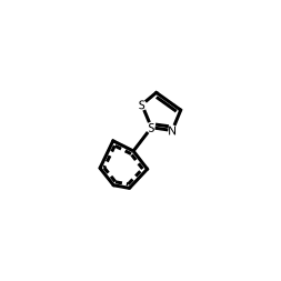 C1=CSS(c2ccccc2)=N1